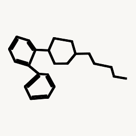 CCCCCC1CCC(c2ccccc2-c2ccccc2)CC1